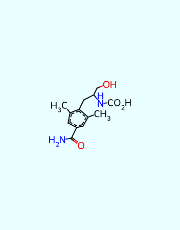 Cc1cc(C(N)=O)cc(C)c1CC(CO)NC(=O)O